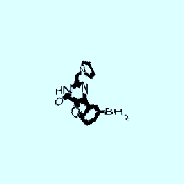 Bc1ccc2oc3c(=O)[nH]c(CN4CCCC4)nc3c2c1